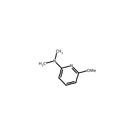 COc1[c]ccc(N(C)C)n1